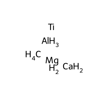 C.[AlH3].[CaH2].[MgH2].[Ti]